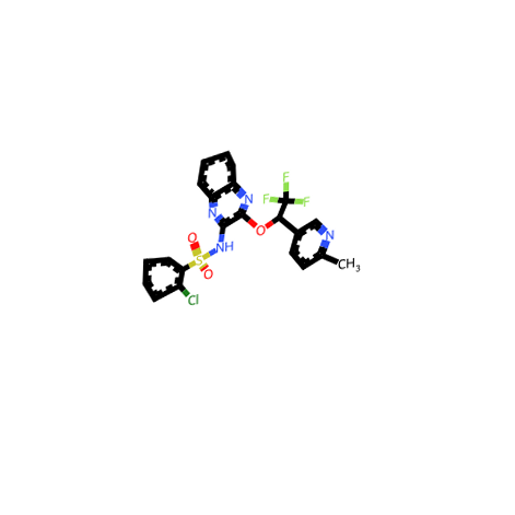 Cc1ccc(C(Oc2nc3ccccc3nc2NS(=O)(=O)c2ccccc2Cl)C(F)(F)F)cn1